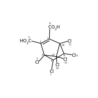 O=C(O)C1=C(C(=O)O)C2(Cl)C(Cl)C(Cl)C1(Cl)C2(Cl)Cl